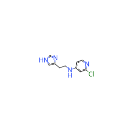 Clc1cc(NCCc2c[nH]cn2)ccn1